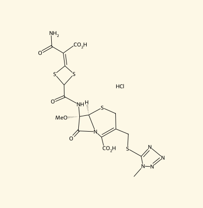 CO[C@@]1(NC(=O)C2SC(=C(C(N)=O)C(=O)O)S2)C(=O)N2C(C(=O)O)=C(CSc3nnnn3C)CS[C@@H]21.Cl